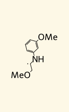 COC[CH]Nc1cccc(OC)c1